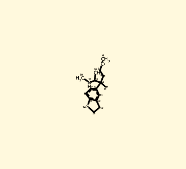 CCCCC(F)(c1ccc2c(c1)CCS2)C(C)NC